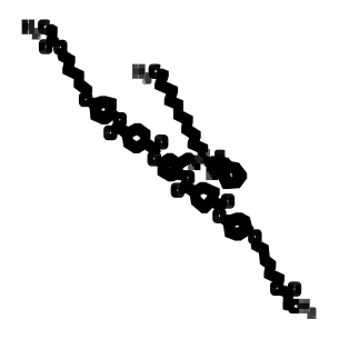 C=CC(=O)OCCCCCCOc1ccc(OC(=O)C2CCC(C(=O)Oc3ccc(OC(=O)C4CCC(C(=O)Oc5ccc(OCCCCCCOC(=O)C=C)cc5)CC4)c(/C=N/N(CCCCCCCCCCCC)c4nc5ccccc5s4)c3)CC2)cc1